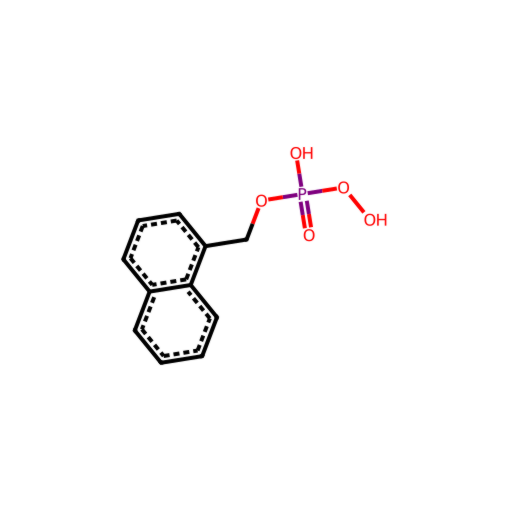 O=P(O)(OO)OCc1cccc2ccccc12